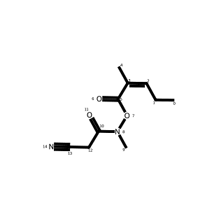 CCC=C(C)C(=O)ON(C)C(=O)CC#N